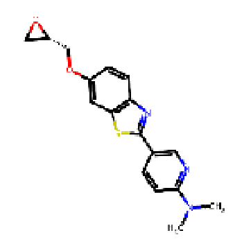 CN(C)c1ccc(-c2nc3ccc(OC[C@@H]4CO4)cc3s2)cn1